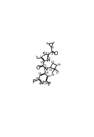 Cc1sc(C(=O)C2CC2)nc1C(=O)N(c1cc(F)nc(F)c1)C1CCC1(C)C